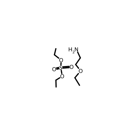 CCOCCN.CCOS(=O)(=O)OCC